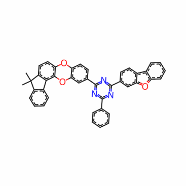 CC1(C)c2ccccc2-c2c1ccc1c2Oc2cc(-c3nc(-c4ccccc4)nc(-c4ccc5c(c4)oc4ccccc45)n3)ccc2O1